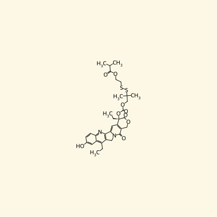 CCc1c2c(nc3ccc(O)cc13)-c1cc3c(c(=O)n1C2)COC(=O)[C@@]3(CC)OC(=O)OCC(C)(C)SSCCOC(=O)C(C)C